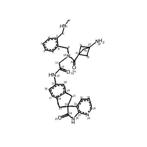 CNCc1ccccc1CN(CC(=O)Nc1ccc2c(c1)CC1(C2)C(=O)Nc2ncccc21)C(=O)C12CC(N)(C1)C2